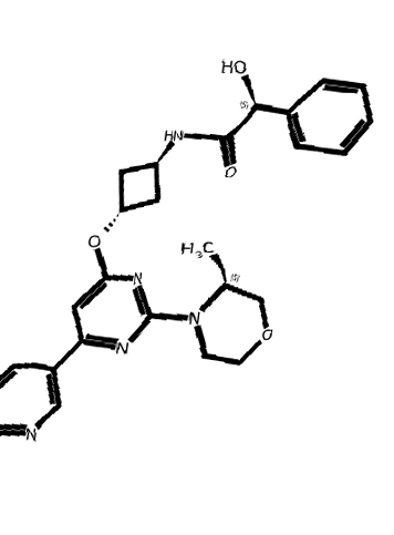 C[C@H]1COCCN1c1nc(O[C@H]2C[C@H](NC(=O)[C@@H](O)c3ccccc3)C2)cc(-c2cnc(N)nc2)n1